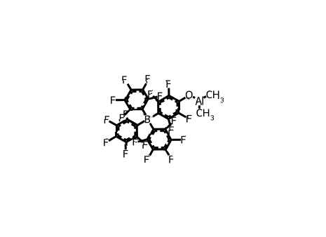 [CH3][Al]([CH3])[O]c1c(F)c(F)c([B-](c2c(F)c(F)c(F)c(F)c2F)(c2c(F)c(F)c(F)c(F)c2F)c2c(F)c(F)c(F)c(F)c2F)c(F)c1F